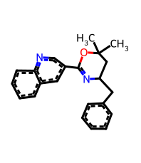 CC1(C)CC(Cc2ccccc2)N=C(c2cnc3ccccc3c2)O1